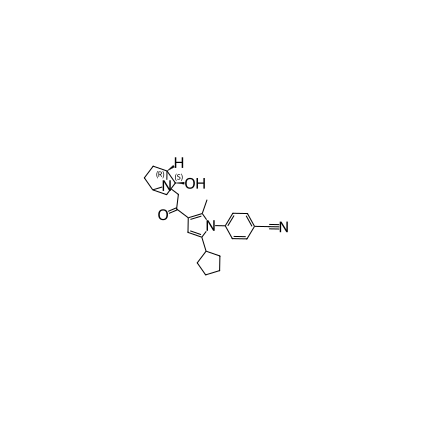 Cc1c(C(=O)CN2C3CC[C@@H]2[C@@H](O)C3)cc(C2CCCC2)n1-c1ccc(C#N)cc1